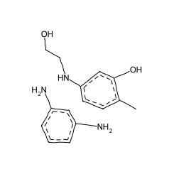 Cc1ccc(NCCO)cc1O.Nc1cccc(N)c1